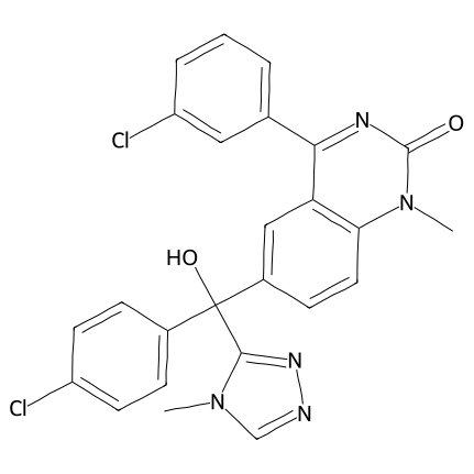 Cn1cnnc1C(O)(c1ccc(Cl)cc1)c1ccc2c(c1)c(-c1cccc(Cl)c1)nc(=O)n2C